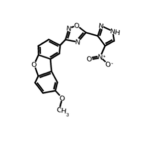 COc1ccc2oc3ccc(-c4noc(-c5n[nH]cc5[N+](=O)[O-])n4)cc3c2c1